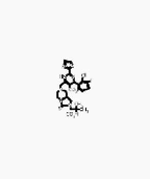 CCOC(=O)C1=C(CN2CCN3C(=S)N(CC(C)(C)C(=O)O)CC3C2)NC(c2nccs2)=NC1c1cccc(F)c1Cl